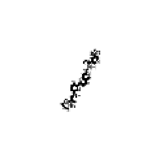 CS(=O)(=O)c1cncc(C(=O)NCc2cc3nc(-c4cccc(NCc5cnn6c5OCCC6)n4)ccc3cn2)c1